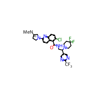 CN[C@@H]1CCN(c2ccc3c(C(=O)NCC(c4cnc(C(F)(F)F)nc4)N4CCC(F)(F)CC4)c(Cl)ccc3n2)C1